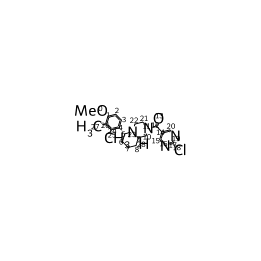 COc1ccc([C@H]2CCC[C@H]3CN(C(=O)c4cnc(Cl)nc4)CCN32)c(C)c1C